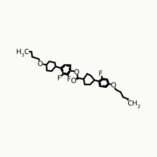 C=CCCCOc1ccc(C2CCC(C(=O)Oc3ccc(C4CCC(OCCCC)CC4)c(F)c3F)CC2)c(F)c1